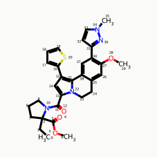 CCC1(C(=O)OC)CCCN1C(=O)c1cc(-c2cccs2)c2n1CCc1cc(OC)c(-c3ccn(C)n3)cc1-2